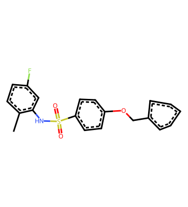 Cc1ccc(F)cc1NS(=O)(=O)c1ccc(OCc2ccccc2)cc1